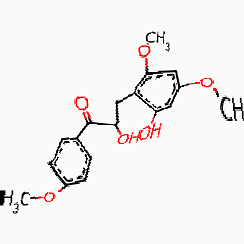 COc1ccc(C(=O)C(O)Cc2c(O)cc(OC)cc2OC)cc1